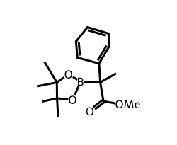 COC(=O)C(C)(B1OC(C)(C)C(C)(C)O1)c1ccccc1